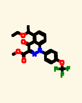 CCOC(C)c1cccc2c1c(=O)c(C(=O)OC)nn2-c1ccc(OC(F)(F)F)cc1